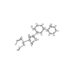 C=C/C=C(\N=C/C)c1noc(-c2cc(-c3ccccn3)ccc2C)n1